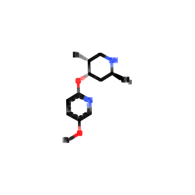 CC[C@@H]1CN[C@@H](C)C[C@@H]1Oc1ccc(OC(C)C)cn1